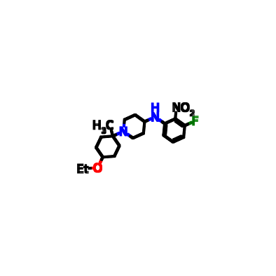 CCOC1CCC(C)(N2CCC(Nc3cccc(F)c3[N+](=O)[O-])CC2)CC1